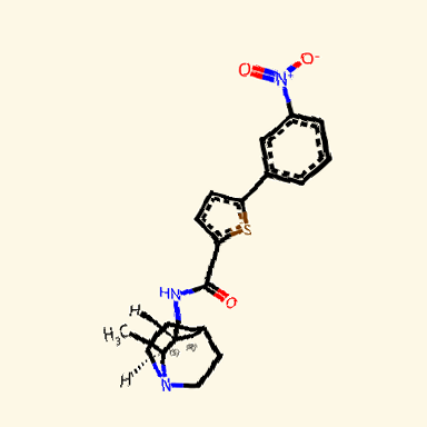 C[C@H]1[C@H](NC(=O)c2ccc(-c3cccc([N+](=O)[O-])c3)s2)C2CCN1CC2